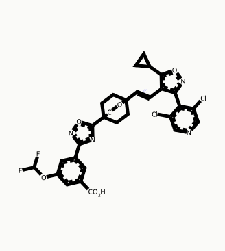 O=C(O)c1cc(OC(F)F)cc(-c2noc(C34CCC(/C=C/c5c(-c6c(Cl)cncc6Cl)noc5C5CC5)(CC3)OC4)n2)c1